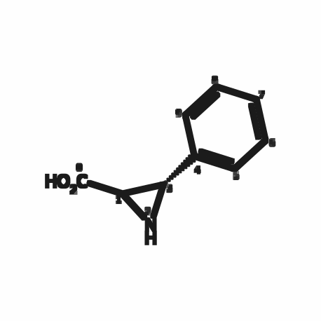 O=C(O)C1N[C@H]1c1ccccc1